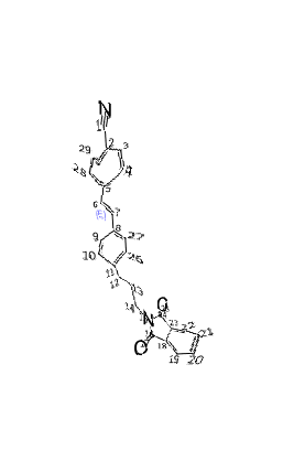 N#Cc1ccc(/C=C/c2ccc(CCCN3C(=O)c4ccccc4C3=O)cc2)cc1